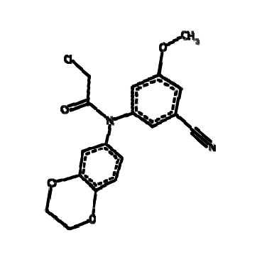 COc1cc(C#N)cc(N(C(=O)CCl)c2ccc3c(c2)OCCO3)c1